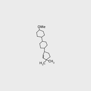 COC1CCC(C2CCC(C3C=CC(C)(C)CC3)CC2)CC1